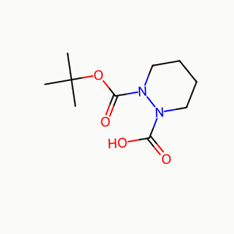 CC(C)(C)OC(=O)N1CCCCN1C(=O)O